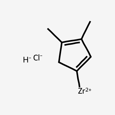 CC1=C(C)C[C]([Zr+2])=C1.[Cl-].[H-]